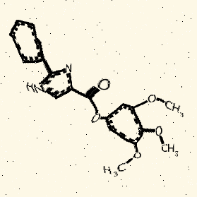 COc1cc(OC(=O)c2c[nH]c(-c3ccccc3)n2)cc(OC)c1OC